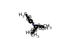 CCCC(=O)Oc1ccc(/C=C/c2cc(OC(=O)C[C@@H](C)O)cc(OC(=O)C[C@@H](C)O)c2)cc1